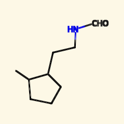 CC1CCCC1CCNC=O